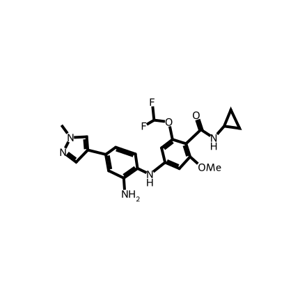 COc1cc(Nc2ccc(-c3cnn(C)c3)cc2N)cc(OC(F)F)c1C(=O)NC1CC1